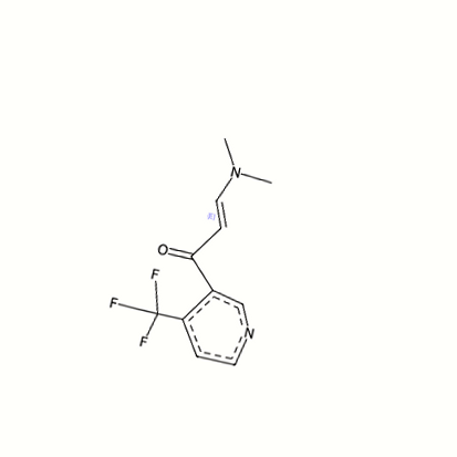 CN(C)/C=C/C(=O)c1cnccc1C(F)(F)F